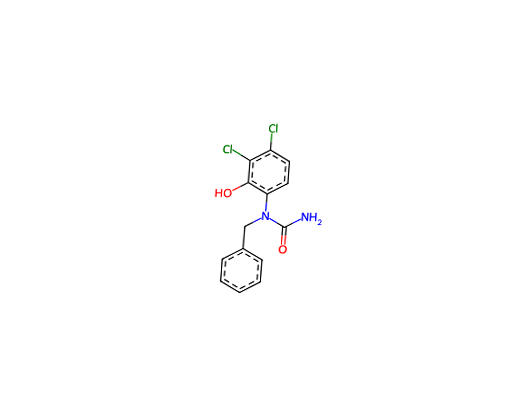 NC(=O)N(Cc1ccccc1)c1ccc(Cl)c(Cl)c1O